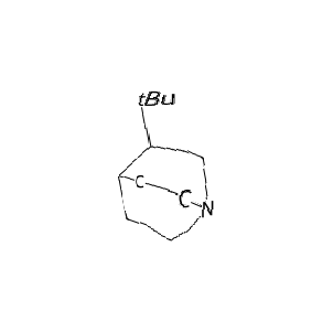 CC(C)(C)C1CN2CCC1CC2